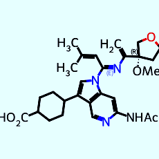 C=C(/N=C(\C=C(C)C)n1cc(C2CCC(C(=O)O)CC2)c2cnc(NC(C)=O)cc21)[C@]1(OC)CCOC1